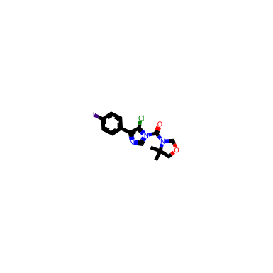 CC1(C)COCN1C(=O)n1cnc(-c2ccc(I)cc2)c1Cl